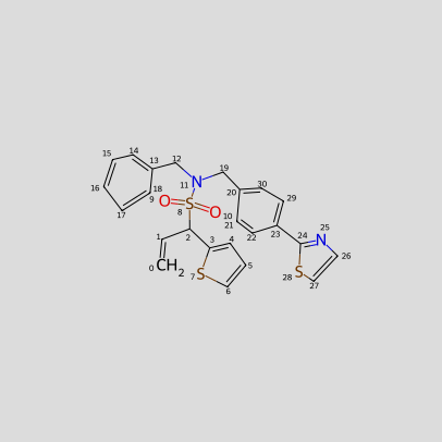 C=CC(c1cccs1)S(=O)(=O)N(Cc1ccccc1)Cc1ccc(-c2nccs2)cc1